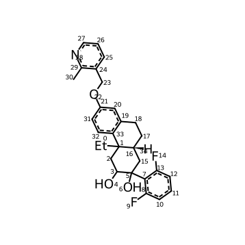 CCC12CC(O)C(O)(c3c(F)cccc3F)C[C@H]1CCc1cc(OCc3cccnc3C)ccc12